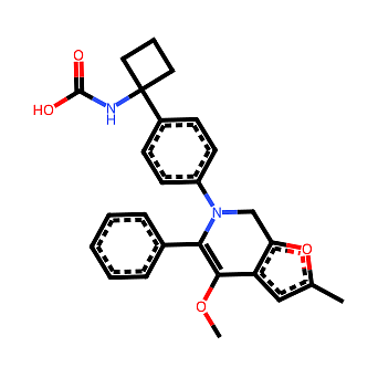 COC1=C(c2ccccc2)N(c2ccc(C3(NC(=O)O)CCC3)cc2)Cc2oc(C)cc21